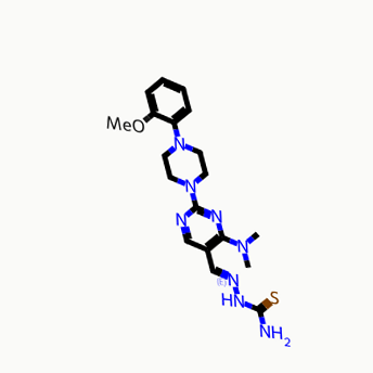 COc1ccccc1N1CCN(c2ncc(/C=N/NC(N)=S)c(N(C)C)n2)CC1